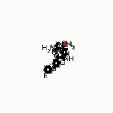 CCc1cnc2[nH]cc(C(=O)c3ccc(Oc4cccc(F)c4)cc3Cl)c2c1NC1(C(N)=O)CCN(C)C1